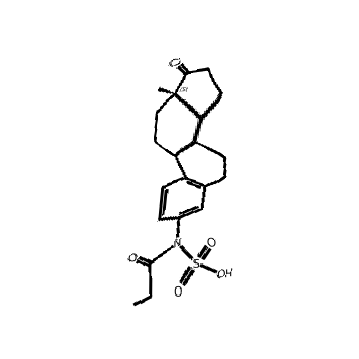 CCC(=O)N(c1ccc2c(c1)CCC1C2CC[C@]2(C)C(=O)CCC12)S(=O)(=O)O